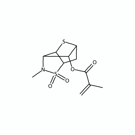 C=C(C)C(=O)OC1C2CC3C(S2)C1N(C)S3(=O)=O